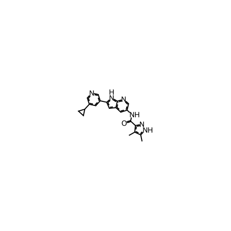 Cc1[nH]nc(C(=O)Nc2cnc3[nH]c(-c4cncc(C5CC5)c4)cc3c2)c1C